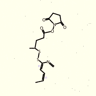 C=N/C(=C\C=C/C)SSC(C)CCC(=O)ON1C(=O)CCC1=O